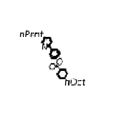 CCCCCCCC[C@H]1CC[C@H](C(=O)Oc2ccc(-c3ccc(CCCCC)cn3)cc2)CC1